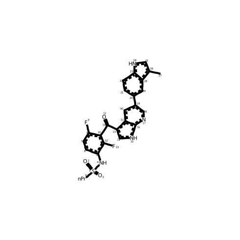 CCCS(=O)(=O)Nc1ccc(F)c(C(=O)c2c[nH]c3ncc(-c4ccc5[nH]cc(C)c5c4)cc23)c1F